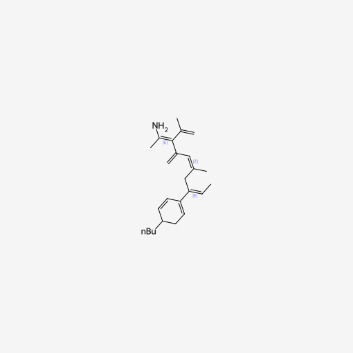 C=C(C)/C(C(=C)/C=C(/C)C/C(=C\C)C1=CCC(CCCC)C=C1)=C(/C)N